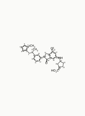 CC(Cc1nncn1C)c1cccc(N2Cc3c(cc(NC4CCN(C(=O)O)C4)cc3C(F)(F)F)C2=O)c1